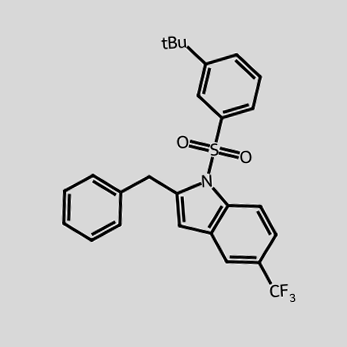 CC(C)(C)c1cccc(S(=O)(=O)n2c(Cc3ccccc3)cc3cc(C(F)(F)F)ccc32)c1